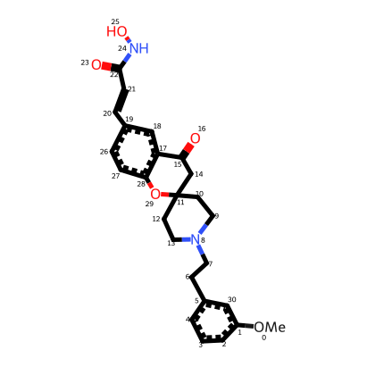 COc1cccc(CCN2CCC3(CC2)CC(=O)c2cc(C=CC(=O)NO)ccc2O3)c1